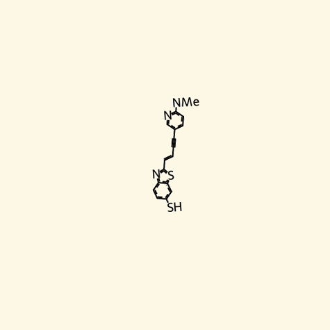 CNc1ccc(C#C/C=C/c2nc3ccc(S)cc3s2)cn1